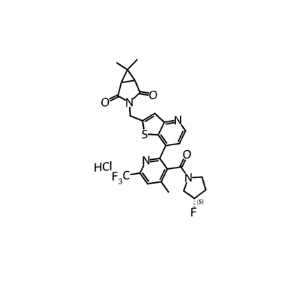 Cc1cc(C(F)(F)F)nc(-c2ccnc3cc(CN4C(=O)C5C(C4=O)C5(C)C)sc23)c1C(=O)N1CC[C@H](F)C1.Cl